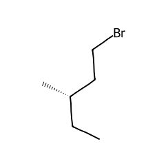 CC[C@H](C)CCBr